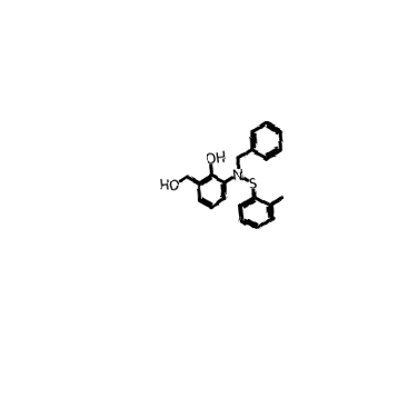 Cc1ccccc1SN(Cc1ccccc1)c1cccc(CO)c1O